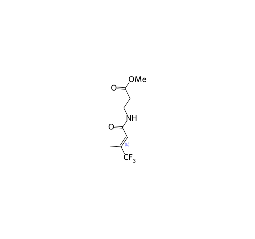 COC(=O)CCNC(=O)/C=C(\C)C(F)(F)F